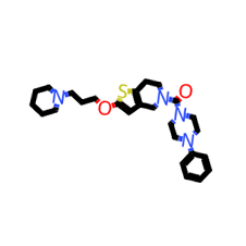 O=C(N1CCN(c2ccccc2)CC1)N1CCc2sc(OCCCN3CCCCC3)cc2C1